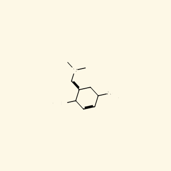 CN(C)C=C1CC([N+](=O)[O-])C=CC1[C]=O